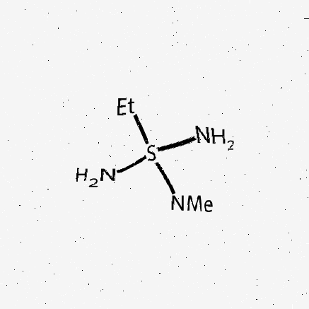 CCS(N)(N)NC